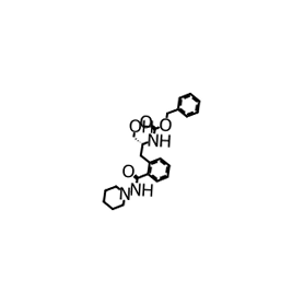 O=C(N[C@@H](CO)Cc1ccccc1C(=O)NN1CCCCC1)OCc1ccccc1